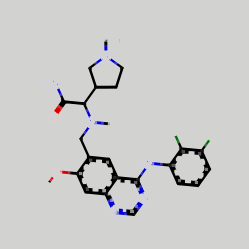 COc1cc2ncnc(Nc3cccc(Cl)c3F)c2cc1CN(C)C(C(N)=O)C1CCN(C)C1